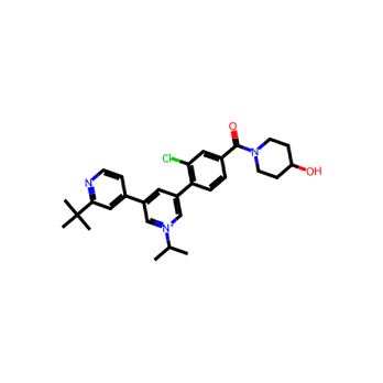 CC(C)[n+]1cc(-c2ccnc(C(C)(C)C)c2)cc(-c2ccc(C(=O)N3CCC(O)CC3)cc2Cl)c1